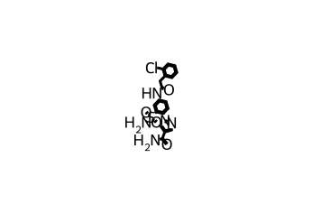 NC(=O)c1cnn(-c2ccc(NC(=O)Cc3ccccc3Cl)cc2S(N)(=O)=O)c1